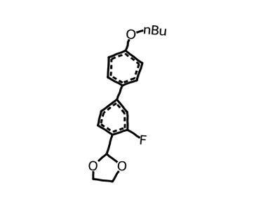 CCCCOc1ccc(-c2ccc(C3OCCO3)c(F)c2)cc1